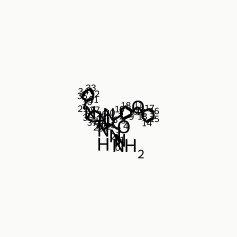 NN=NC(=O)c1c(-c2ccc(Oc3ccccc3)cc2)nn2c1NCC21CCN(Cc2ccccc2)CC1